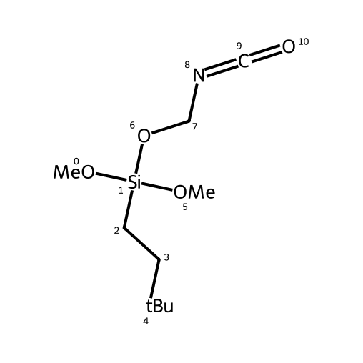 CO[Si](CCC(C)(C)C)(OC)OCN=C=O